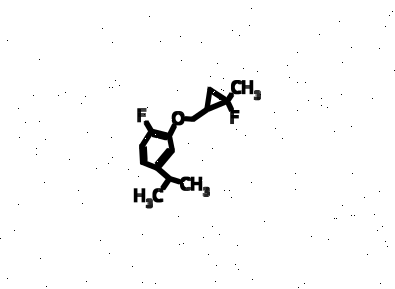 CC(C)c1ccc(F)c(OCC2CC2(C)F)c1